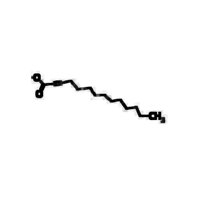 CCCCCCCCCCCC#CC([O])=O